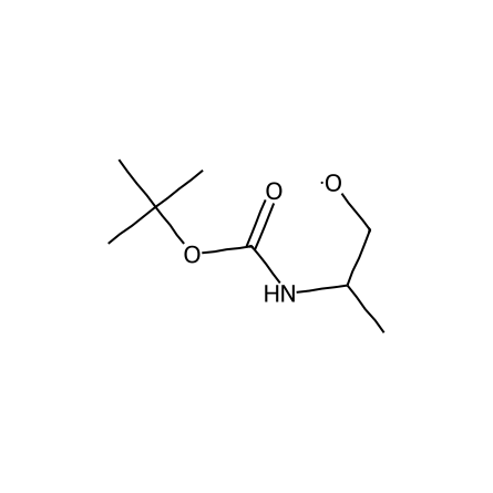 CC(C[O])NC(=O)OC(C)(C)C